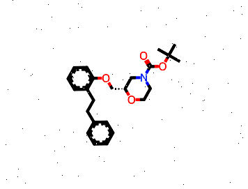 CC(C)(C)OC(=O)N1CCO[C@H](COc2ccccc2CCc2ccccc2)C1